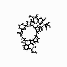 CCn1c(-c2cnccc2COC)c2c3cc(ccc31)-c1cc(O)cc(c1)C[C@H](NC(=O)C(C(C)C)N(C)C(=O)CN(C)C(=O)[C@H]1NC1(C)C)C(=O)N1CCC[C@H](N1)C(=O)OCC(C)(C)C2